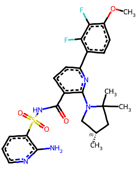 COc1ccc(-c2ccc(C(=O)NS(=O)(=O)c3cccnc3N)c(N3C[C@@H](C)CC3(C)C)n2)c(F)c1F